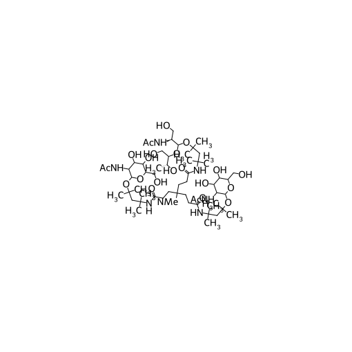 CNC(CCC(=O)NC(C)(C)CC(C)(C)OC1OC(CO)C(O)C(O)C1NC(C)=O)(CCC(=O)NC(C)(C)CC(C)(C)OC1OC(CO)C(O)C(O)C1NC(C)=O)CCC(=O)NC(C)(C)CC(C)(C)OC(OC(CO)[C@@H](C)O)[C@H](CO)NC(C)=O